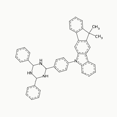 CC1(C)c2ccccc2-c2cc3c(cc21)c1ccccc1n3-c1ccc(C2NC(c3ccccc3)NC(c3ccccc3)N2)cc1